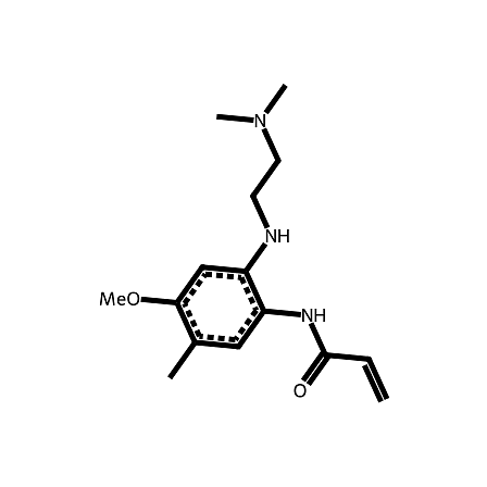 C=CC(=O)Nc1cc(C)c(OC)cc1NCCN(C)C